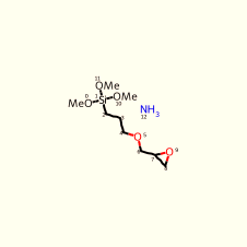 CO[Si](CCCOCC1CO1)(OC)OC.N